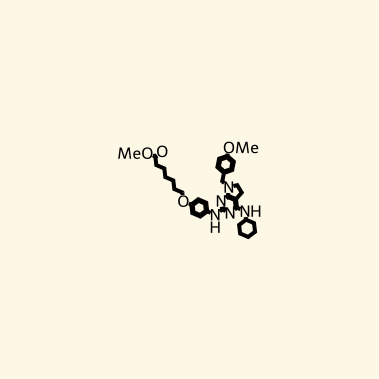 COC(=O)CCCCCCOc1ccc(Nc2nc(NC3CCCCC3)c3c(n2)N(Cc2ccc(OC)cc2)CC3)cc1